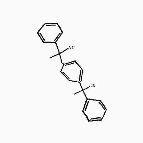 [C-]#[N+]C(C)(c1ccccc1)c1ccc(C(C)(C#N)c2ccccc2)cc1